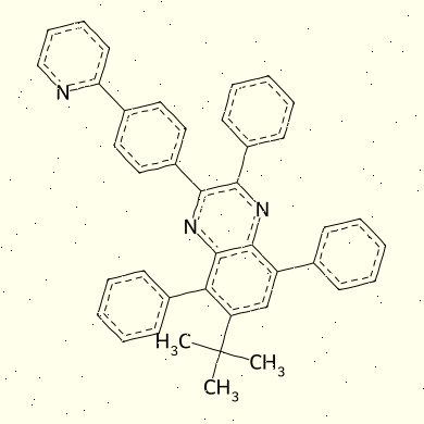 CC(C)(C)c1cc(-c2ccccc2)c2nc(-c3ccccc3)c(-c3ccc(-c4ccccn4)cc3)nc2c1-c1ccccc1